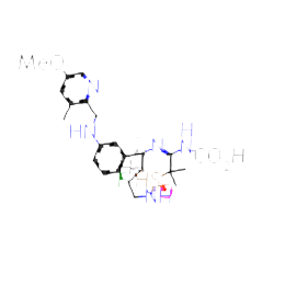 COc1cnc(CNc2ccc(F)c([C@@]3(C)N=C(NC(=O)O)C(C)(C)[SH]4(=O)NCC[C@@H]34)c2)c(C)c1